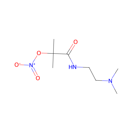 CN(C)CCNC(=O)C(C)(C)O[N+](=O)[O-]